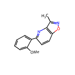 COc1ccccc1-c1ccc2onc(C)c2n1